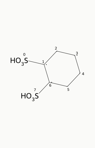 O=S(=O)(O)[C]1C[CH]CC[C]1S(=O)(=O)O